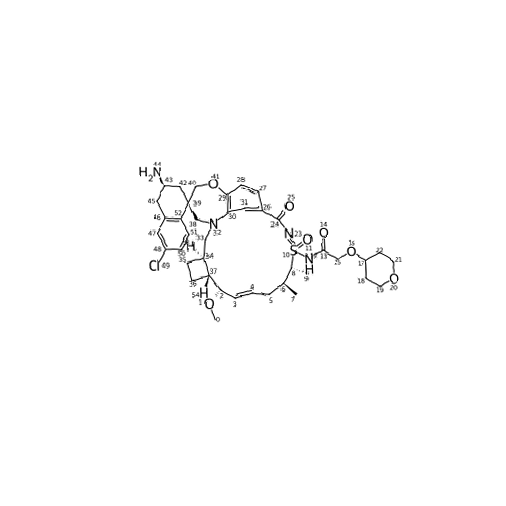 CO[C@H]1/C=C/C[C@H](C)[C@@H](C)S(=O)(NC(=O)COC2CCOCC2)=NC(=O)c2ccc3c(c2)N(C[C@@H]2CC[C@H]21)C[C@]1(CO3)C[C@H](N)Cc2cc(Cl)ccc21